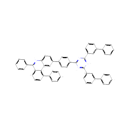 c1ccc(-c2cccc(-c3nc(-c4ccc(-c5ccc6nc(-c7ccccc7)c7cccc(-c8ccccc8)c7c6c5)cc4)nc(-c4cccc(-c5ccccc5)c4)n3)c2)cc1